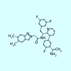 C=C(N)c1cc(-c2cccnc2[C@H](Cc2cc(F)cc(F)c2)NC(=O)Cn2cc3cc(C)c(C)cc3n2)ccc1F